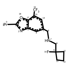 CC(C)c1nc2cc(CNCC3(F)CCC3)cc(C(F)(F)F)c2o1